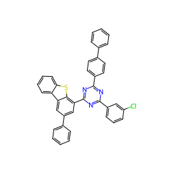 Clc1cccc(-c2nc(-c3ccc(-c4ccccc4)cc3)nc(-c3cc(-c4ccccc4)cc4c3sc3ccccc34)n2)c1